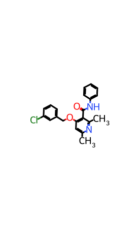 Cc1cc(OCc2cccc(Cl)c2)c(C(=O)Nc2ccccc2)c(C)n1